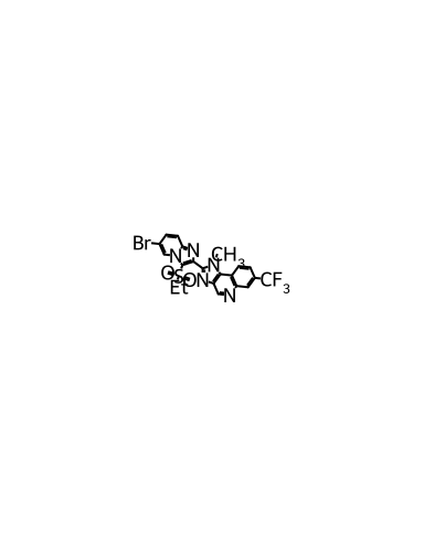 CCS(=O)(=O)c1c(-c2nc3cnc4cc(C(F)(F)F)ccc4c3n2C)nc2ccc(Br)cn12